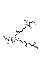 C=C(C)C(=O)NCCCNCCC(NC(=O)C(=C)C)[N+](C)(C)CCCCC(=O)CCC(=O)O